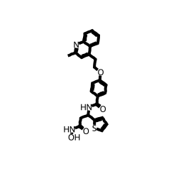 Cc1cc(CCOc2ccc(C(=O)NC(CC(=O)NO)c3cccs3)cc2)c2ccccc2n1